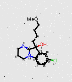 COCCCCC1(O)C2=NCCCN2c2ccc(Cl)cc21